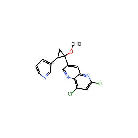 O=COC1(c2cnc3c(Cl)cc(Cl)nc3c2)CC1c1cccnc1